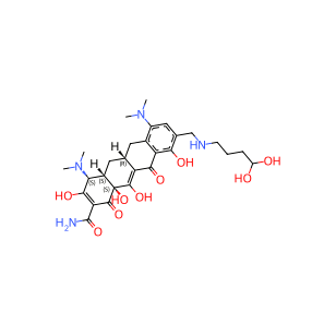 CN(C)c1cc(CNCCCC(O)O)c(O)c2c1C[C@H]1C[C@H]3[C@H](N(C)C)C(O)=C(C(N)=O)C(=O)[C@@]3(O)C(O)=C1C2=O